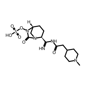 CN1CCC(CC(=O)NC(=N)[C@@H]2CC[C@@H]3CN2C(=O)N3OS(=O)(=O)O)CC1